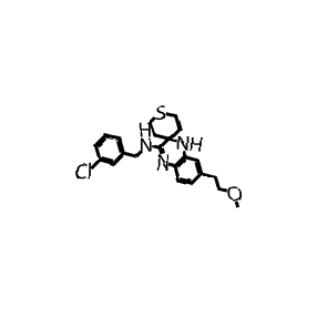 COCCc1ccc2c(c1)NC1(CCSCC1)C(NCc1cccc(Cl)c1)=N2